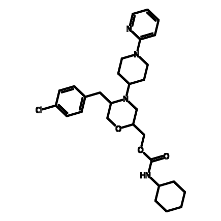 O=C(NC1CCCCC1)OCC1CN(C2CCN(c3ccccn3)CC2)C(Cc2ccc(Cl)cc2)CO1